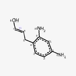 Nc1ccc(C/C=C/O)c(N)c1